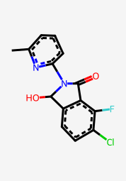 Cc1cccc(N2C(=O)c3c(ccc(Cl)c3F)C2O)n1